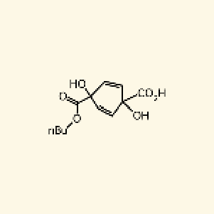 CCCCOC(=O)C1(O)C=CC(O)(C(=O)O)C=C1